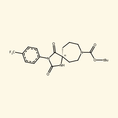 CC(C)(C)OC(=O)N1CCC[C@]2(CC1)NC(=O)N(c1ccc(C(F)(F)F)cc1)C2=O